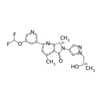 Cc1cc(-c2cncc(OC(F)F)c2)nc2c1C(=O)N(c1cnn(C[C@H](C)O)c1)[C@H]2C